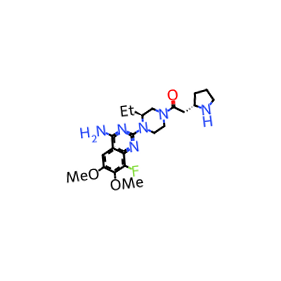 CC[C@H]1CN(C(=O)C[C@@H]2CCCN2)CCN1c1nc(N)c2cc(OC)c(OC)c(F)c2n1